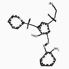 CC(C)(C)CC(C)(C)c1cc(/N=N/c2ccccc2N)c(O)c(C(C)(C)c2ccccc2)c1